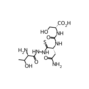 CC(O)[C@@H](N)C(=O)NNC(=S)[C@@H](CC(N)=O)NC(=O)N[C@H](CO)C(=O)O